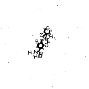 CC1(C(=O)N2CCOc3cc(C(N)=NO)cc(F)c3C2)CCOCC1